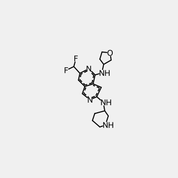 FC(F)c1cc2cnc(NC3CCCNC3)cc2c(NC2CCOC2)n1